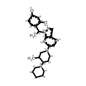 CC1CN(c2cnc3cnn(C(C)c4ccc(Cl)cc4Cl)c3n2)CCC1N1CCCCC1